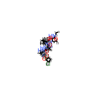 C=CCNC(=O)C(=O)C(CCC)NC(=O)[C@@H]1[C@@H]2[C@H](CN1C(=O)[C@@H](NC(=O)N[C@H](CN(C)S(=O)(=O)c1cccc(Cl)c1)C(C)(C)C)C(C)(C)C)C2(C)C